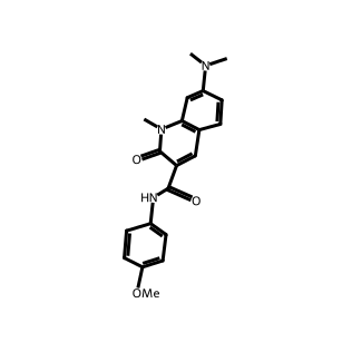 COc1ccc(NC(=O)c2cc3ccc(N(C)C)cc3n(C)c2=O)cc1